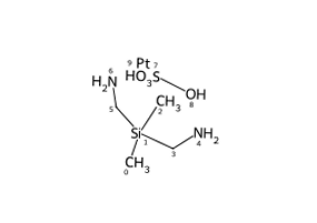 C[Si](C)(CN)CN.O=S(=O)(O)O.[Pt]